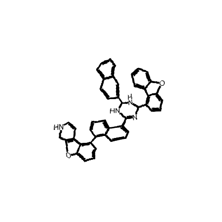 C1=Cc2c(oc3cccc(-c4cccc5c(C6=NC(c7cccc8oc9ccccc9c78)NC(c7ccc8ccccc8c7)N6)cccc45)c23)CN1